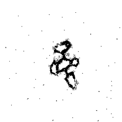 c1ccc2c(-c3ccnnc3)c3ncccc3c(-c3ccnnc3)c2c1